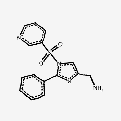 NCc1cn(S(=O)(=O)c2cccnc2)c(-c2ccccc2)n1